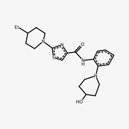 CCC1CCN(c2nc(C(=O)Nc3ccccc3N3CCC(O)CC3)cs2)CC1